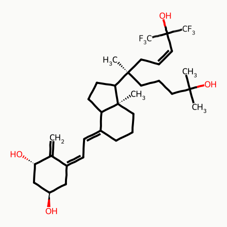 C=C1/C(=C\C=C2/CCC[C@@]3(C)C2CCC3[C@@](C)(C/C=C\C(O)(C(F)(F)F)C(F)(F)F)CCCC(C)(C)O)C[C@@H](O)C[C@@H]1O